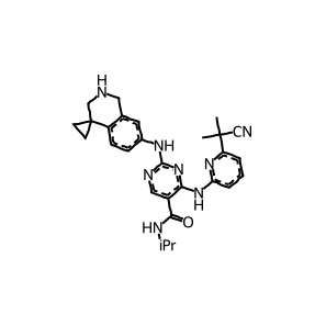 CC(C)NC(=O)c1cnc(Nc2ccc3c(c2)CNCC32CC2)nc1Nc1cccc(C(C)(C)C#N)n1